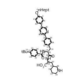 CCCCCCCOc1ccc(-c2cnc(-c3ccc(C[C@H](NC(=O)c4ccc(C(C)(C)C)cc4)C(=O)N[C@@H](CC4CCCNC4)C(=O)O)cc3)nc2)cc1